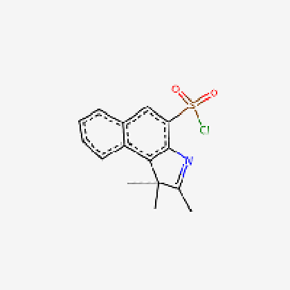 CC1=Nc2c(S(=O)(=O)Cl)cc3ccccc3c2C1(C)C